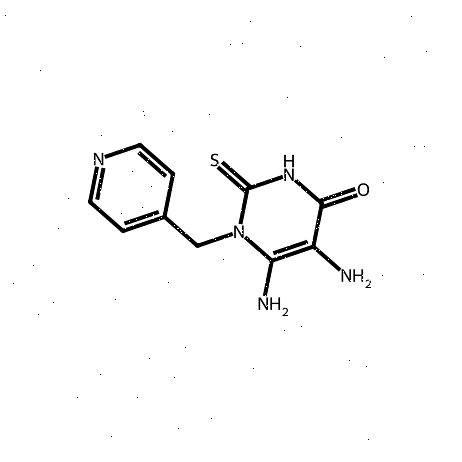 Nc1c(N)n(Cc2ccncc2)c(=S)[nH]c1=O